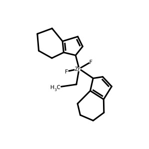 C[CH2][Zr]([F])([F])([CH]1C=CC2=C1CCCC2)[CH]1C=CC2=C1CCCC2